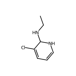 CCN[C]1NC=CC=C1Cl